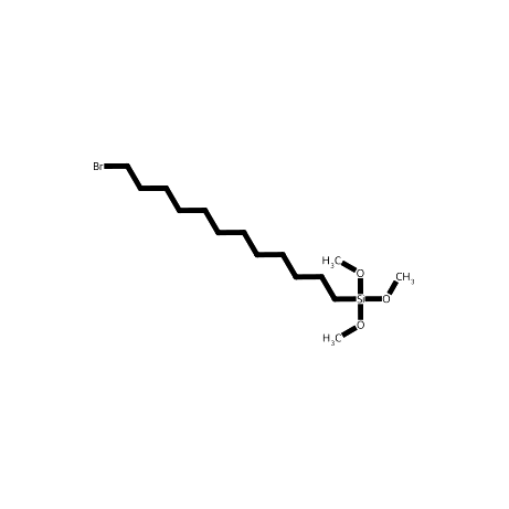 CO[Si](CCCCCCCCCCCCBr)(OC)OC